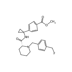 COC(=O)c1ccc(C2(NC(=O)[C@H]3CCCCN3Cc3ccc(CF)cc3)CC2)cc1